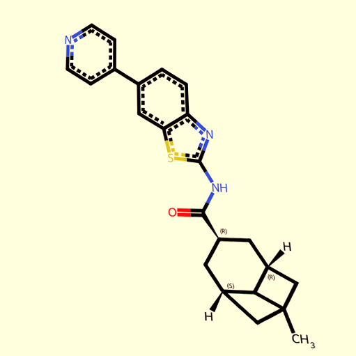 CC12C[C@H]3C[C@H](C(=O)Nc4nc5ccc(-c6ccncc6)cc5s4)C[C@@H](C1)C32